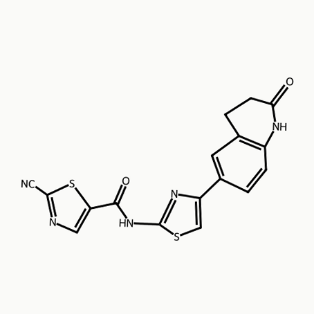 N#Cc1ncc(C(=O)Nc2nc(-c3ccc4c(c3)CCC(=O)N4)cs2)s1